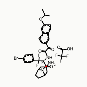 CC(C)Oc1ccc2cc(C(=O)C(=O)N[C@@H](C(=O)N3C4CCC3CC(N)C4)C(F)(F)c3ccc(Br)cc3)ccc2c1.O=C(O)C(F)(F)F